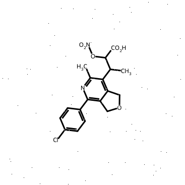 Cc1nc(-c2ccc(Cl)cc2)c2c(c1C(C)C(O[N+](=O)[O-])C(=O)O)COC2